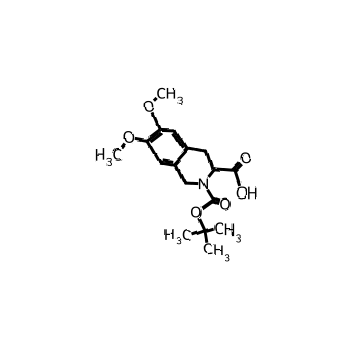 COc1cc2c(cc1OC)CN(C(=O)OC(C)(C)C)C(C(=O)O)C2